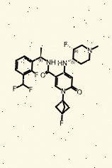 C[C@@H](NC(=O)c1cn(C23CC(F)(C2)C3)c(=O)cc1N[C@H]1CCN(C)C[C@H]1F)c1cccc(C(F)F)c1F